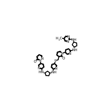 Cc1cnc(N[C@H]2CC[C@H](Nc3ccc(-n4cccc(CSc5ccc(N[C@H]6CC[C@H](Nc7ccc(-n8ncccc8=O)cn7)C6)nc5)c4=O)cn3)C2)nc1